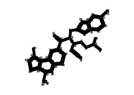 CN(C)CCN(C=O)N(Cc1cn2ccc(Cl)cc2n1)C(=O)c1ccc2nc(N)c3cnn(C)c3c2c1